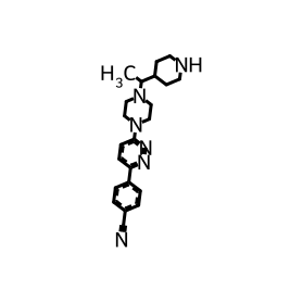 CC(C1CCNCC1)N1CCN(c2ccc(-c3ccc(C#N)cc3)nn2)CC1